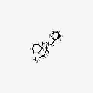 CC(=O)[C@@H]1CCCC[C@@H]1C(=O)NCc1ccccn1